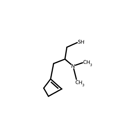 CN(C)C(CS)CC1=CCC1